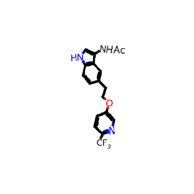 CC(=O)Nc1c[nH]c2ccc(CCOc3ccc(C(F)(F)F)nc3)cc12